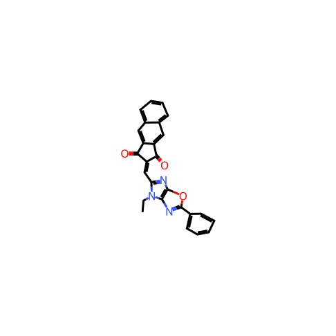 CCn1c(C=C2C(=O)c3cc4ccccc4cc3C2=O)nc2oc(-c3ccccc3)nc21